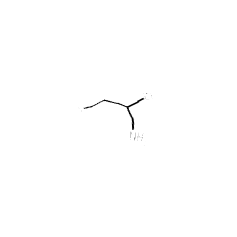 CCC(N)C[S]